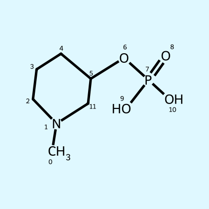 CN1CCCC(OP(=O)(O)O)C1